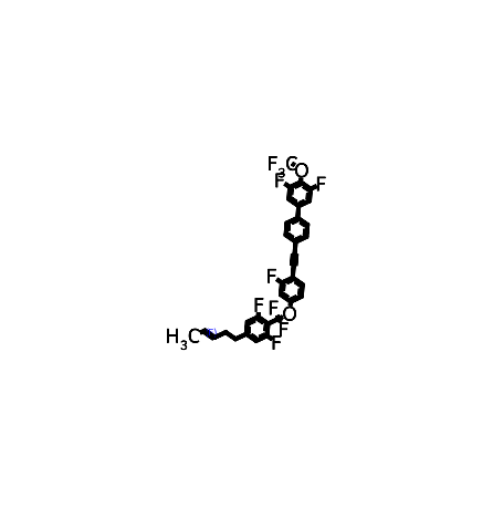 C/C=C/CCc1cc(F)c(C(F)(F)Oc2ccc(C#Cc3ccc(-c4cc(F)c(OC(F)(F)F)c(F)c4)cc3)c(F)c2)c(F)c1